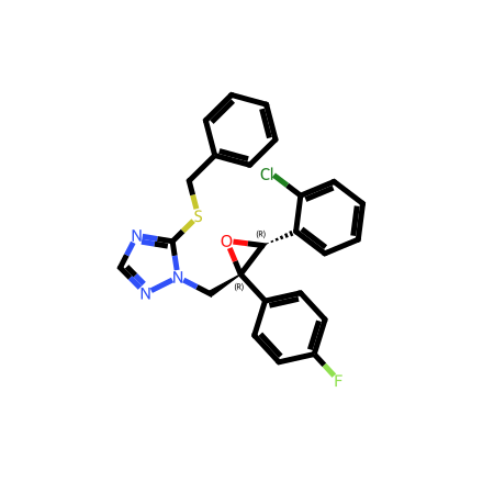 Fc1ccc([C@]2(Cn3ncnc3SCc3ccccc3)O[C@@H]2c2ccccc2Cl)cc1